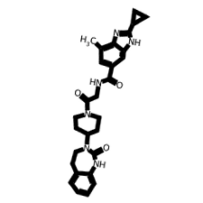 Cc1cc(C(=O)NCC(=O)N2CCC(N3CCc4ccccc4NC3=O)CC2)cc2[nH]c(C3CC3)nc12